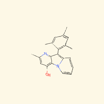 Cc1cc(C)c(-c2c3nc(C)cc(O)c3n3ccccc23)c(C)c1